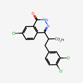 O=C(O)C(Cc1ccc(Cl)c(Cl)c1)c1n[nH]c(=O)c2cc(Cl)ccc12